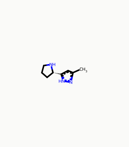 Cc1cc([C@@H]2CCCN2)[nH]n1